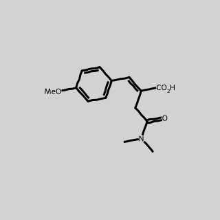 COc1ccc(C=C(CC(=O)N(C)C)C(=O)O)cc1